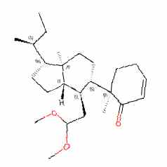 CC[C@H](C)[C@H]1CC[C@H]2[C@H](CC(OC)OC)[C@@H]([C@@]3(C)CCC=CC3=O)CC[C@]12C